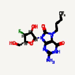 Nc1nc2c(c(=O)[nH]1)n(CCCC(F)(F)F)c(=O)n2[C@@H]1O[C@H](CO)[C@@H](F)[C@H]1O